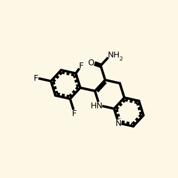 NC(=O)C1=C(c2c(F)cc(F)cc2F)Nc2ncccc2C1